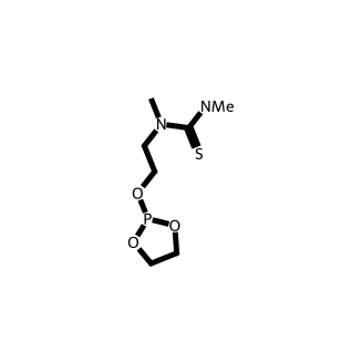 CNC(=S)N(C)CCOP1OCCO1